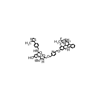 Cc1ncsc1-c1ccc(CNC(=O)[C@@H]2C[C@@H](O)CN2C(=O)C(NC(=O)COCc2ccc(COc3cc(F)c([C@@H]4c5[nH]c6ccccc6c5C[C@@H](C)N4CC(C)(C)F)c(F)c3)nc2)C(C)(C)C)cc1